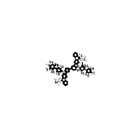 [2H]c1c([2H])c([2H])c(-c2c([2H])c([2H])c(-n3c4ccc(-c5ccc6c(c5)c5cc7c(cc5n6-c5c([2H])c([2H])c(-c6c([2H])c([2H])c([2H])c([2H])c6[2H])c([2H])c5[2H])C(C)(C)c5ccccc5-7)cc4c4cc5c(cc43)C(C)(C)c3ccccc3-5)c([2H])c2[2H])c([2H])c1[2H]